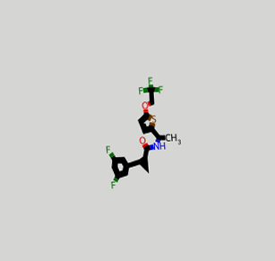 CC(NC(=O)C1CC1c1cc(F)cc(F)c1)c1ccc(OCC(F)(F)F)s1